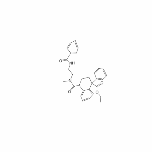 CCOC(=O)C1(c2ccccc2)CCC(C(=O)N(C)CCNC(=O)c2ccccc2)c2ccccc21